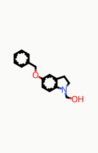 OCN1CCc2cc(OCc3ccccc3)ccc21